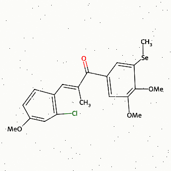 COc1ccc(/C=C(\C)C(=O)c2cc(OC)c(OC)c([Se]C)c2)c(Cl)c1